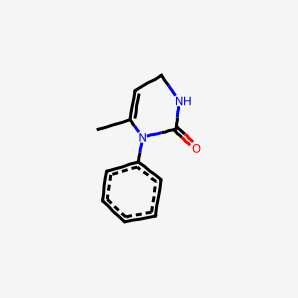 CC1=CCNC(=O)N1c1ccccc1